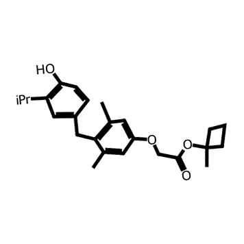 Cc1cc(OCC(=O)OC2(C)CCC2)cc(C)c1Cc1ccc(O)c(C(C)C)c1